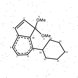 COC1(OC)C=Cc2cccc(C3CCCCC3)c21